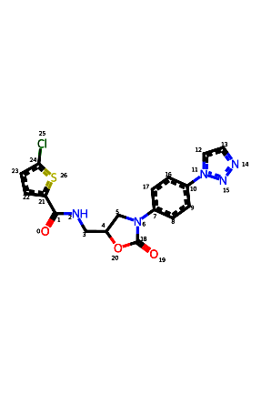 O=C(NCC1CN(c2ccc(-n3ccnn3)cc2)C(=O)O1)c1ccc(Cl)s1